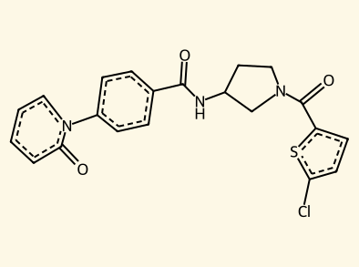 O=C(NC1CCN(C(=O)c2ccc(Cl)s2)C1)c1ccc(-n2ccccc2=O)cc1